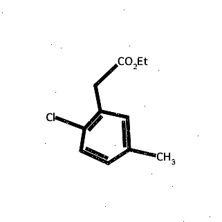 CCOC(=O)Cc1cc(C)ccc1Cl